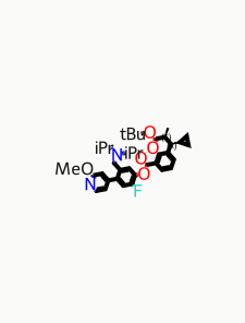 COc1cc(-c2cc(F)c(OC(=O)c3cccc([C@H](C4CC4)[C@H](C)C(=O)OC(C)(C)C)c3)cc2CN(C(C)C)C(C)C)ccn1